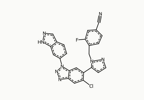 N#Cc1ccc(Cn2nccc2-c2cc3c(cc2Cl)nnn3-c2ccc3cn[nH]c3c2)c(F)c1